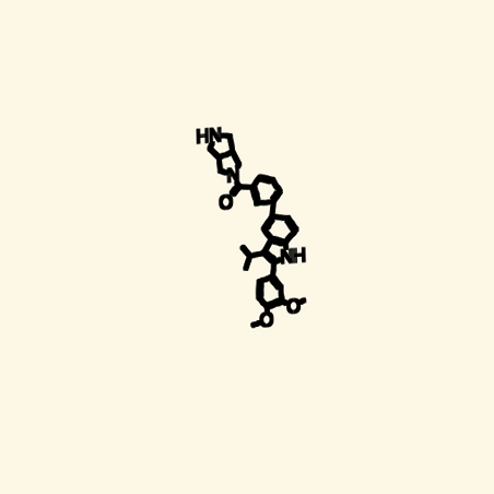 COc1ccc(-c2[nH]c3ccc(-c4cccc(C(=O)N5CC6CNCC6C5)c4)cc3c2C(C)C)cc1OC